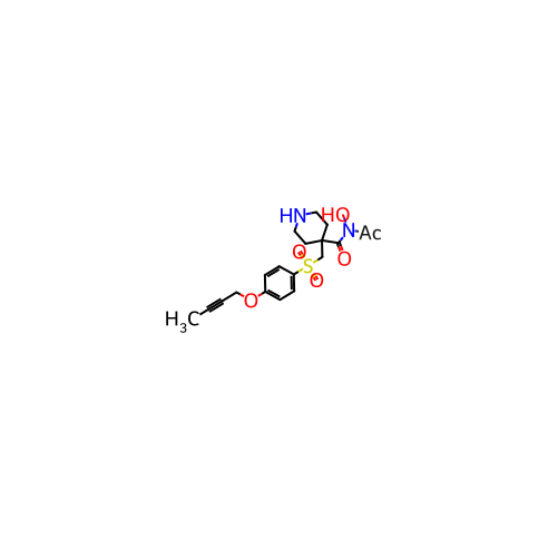 CC#CCOc1ccc(S(=O)(=O)CC2(C(=O)N(O)C(C)=O)CCNCC2)cc1